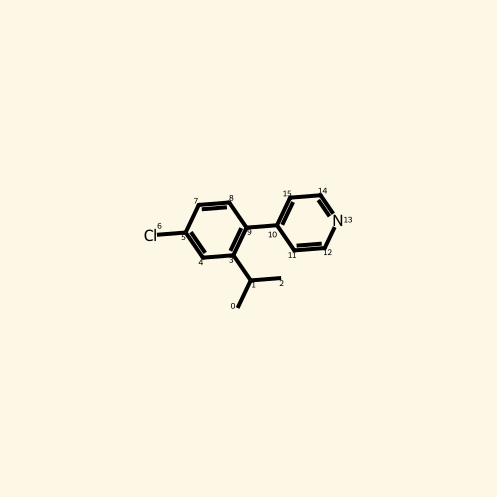 CC(C)c1cc(Cl)ccc1-c1ccncc1